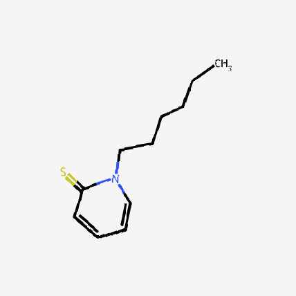 CCCCCCn1ccccc1=S